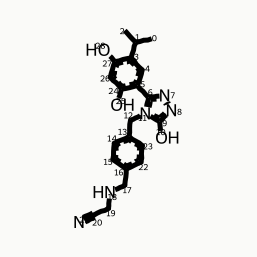 CC(C)c1cc(-c2nnc(O)n2Cc2ccc(CNCC#N)cc2)c(O)cc1O